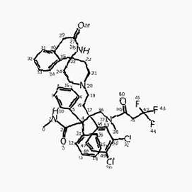 CNC(=O)C(c1ccccc1)(c1ccccc1)[C@](CCN1CCC2(CC1)NC(=O)Cc1ccccc12)(CN(C)C(=O)CC(F)(F)F)c1ccc(Cl)c(Cl)c1